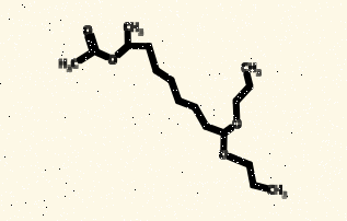 CCCOC(CCCCCCC(C)OC(C)=O)OCCC